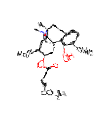 COC1=C[C@H]2[C@H]3Cc4ccc(OC)c(O)c4[C@@]2(CCN3C)CC1OC(=O)CCC(=O)O